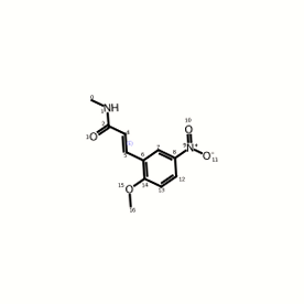 CNC(=O)/C=C/c1cc([N+](=O)[O-])ccc1OC